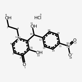 Cl.O=c1ccn(CCO)c(C(O)c2ccc([N+](=O)[O-])cc2)c1O